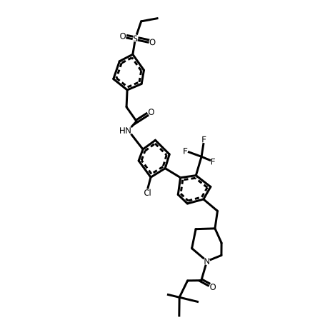 CCS(=O)(=O)c1ccc(CC(=O)Nc2ccc(-c3ccc(CC4CCN(C(=O)CC(C)(C)C)CC4)cc3C(F)(F)F)c(Cl)c2)cc1